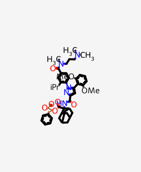 COc1cccc(OC)c1-c1cc(C(=O)NC2(C(=O)OS(=O)(=O)c3ccccc3)C3CC4CC(C3)CC2C4)nn1-c1ccc(C(=O)N(C)CCCN(C)C)cc1C(C)C